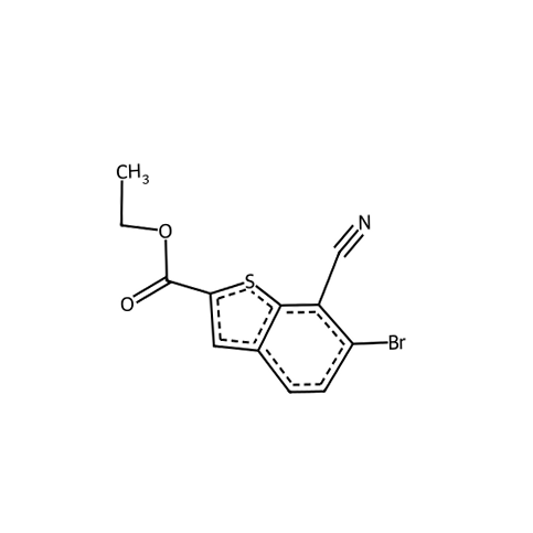 CCOC(=O)c1cc2ccc(Br)c(C#N)c2s1